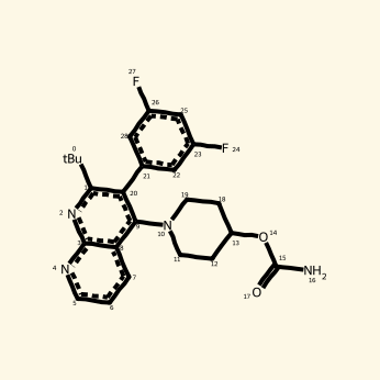 CC(C)(C)c1nc2ncccc2c(N2CCC(OC(N)=O)CC2)c1-c1cc(F)cc(F)c1